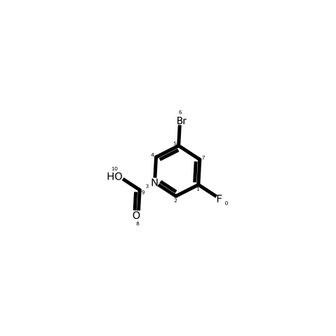 Fc1cncc(Br)c1.O=CO